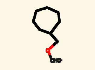 O=[C]OCC1CCCCCC1